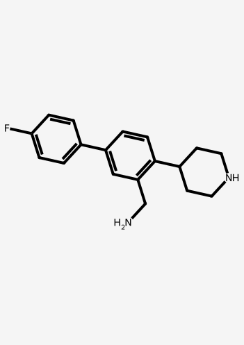 NCc1cc(-c2ccc(F)cc2)ccc1C1CCNCC1